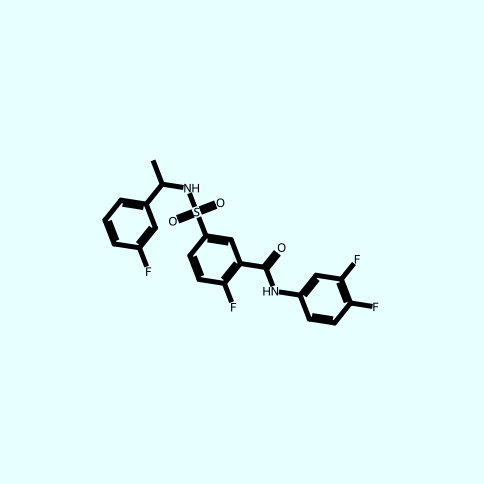 CC(NS(=O)(=O)c1ccc(F)c(C(=O)Nc2ccc(F)c(F)c2)c1)c1cccc(F)c1